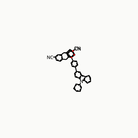 N#Cc1ccc2c(c1)C1c3cc(C#N)ccc3C2c2c(-c3ccc(-c4ccc5c(c4)c4ccccc4n5-c4ccccc4)cc3)cc(C#N)cc21